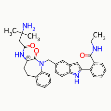 CCNC(=O)c1ccccc1-c1cc2cc(CN3C(=O)[C@H](NC(=O)CC(C)(C)N)CCc4ccccc43)ccc2[nH]1